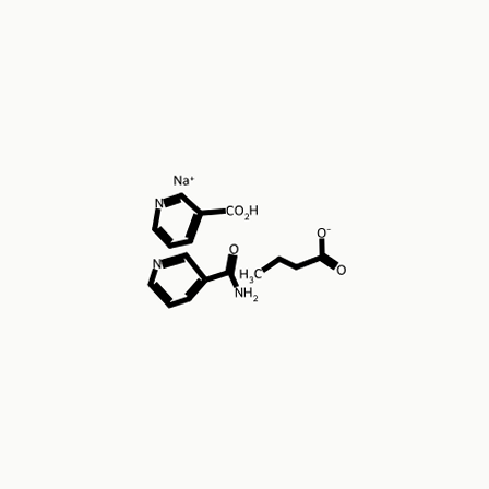 CCCC(=O)[O-].NC(=O)c1cccnc1.O=C(O)c1cccnc1.[Na+]